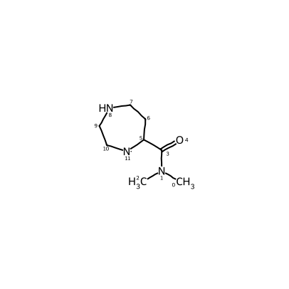 CN(C)C(=O)C1CCNCC[N]1